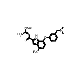 CNC(N)=NC(=O)c1cc2c(C(F)(F)F)ccc(Oc3cccc(CN(C)C)c3)c2[nH]1